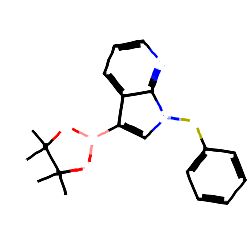 CC1(C)OB(c2cn(Sc3ccccc3)c3ncccc23)OC1(C)C